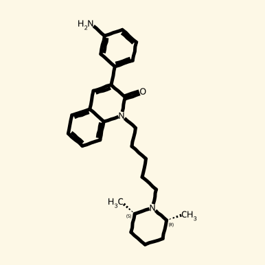 C[C@@H]1CCC[C@H](C)N1CCCCCn1c(=O)c(-c2cccc(N)c2)cc2ccccc21